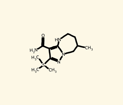 CC1CCNc2c(C(N)=O)c(S(C)(C)C)nn2C1